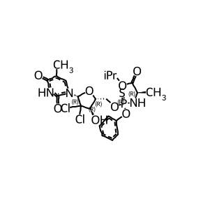 Cc1cn([C@@H]2O[C@H](CO[P@](=S)(N[C@H](C)C(=O)OC(C)C)Oc3ccccc3)[C@@H](O)C2(Cl)Cl)c(=O)[nH]c1=O